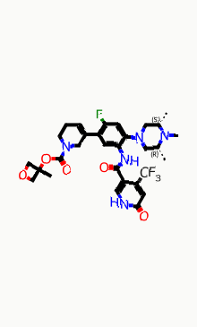 C[C@@H]1CN(c2cc(F)c(C3=CCCN(C(=O)OC4(C)COC4)C3)cc2NC(=O)c2c[nH]c(=O)cc2C(F)(F)F)C[C@H](C)N1C